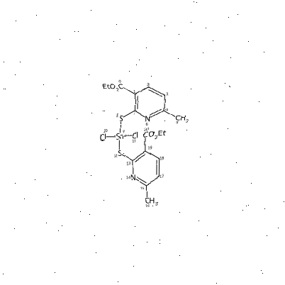 CCOC(=O)c1ccc(C)nc1[S][Sn]([Cl])([Cl])[S]c1nc(C)ccc1C(=O)OCC